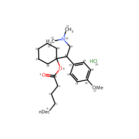 CCCCCCCCCCCCCC(=O)OC1(C(CN(C)C)c2ccc(OC)cc2)CCCCC1.Cl